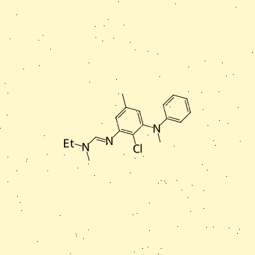 CCN(C)C=Nc1cc(C)cc(N(C)c2ccccc2)c1Cl